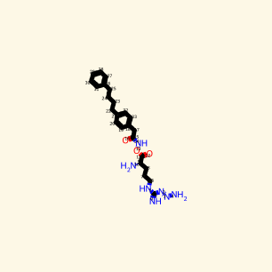 N=C(N=NN)NCCC[C@H](N)C(=O)ONC(=O)Cc1ccc(CCCCc2ccccc2)cc1